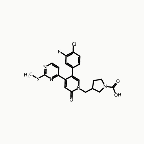 CSc1nccc(-c2cc(=O)n(CC3CCN(C(=O)O)C3)cc2-c2ccc(Cl)c(F)c2)n1